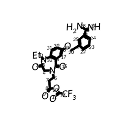 CCN1C(=O)CN(CCC(=O)OC(=O)C(F)(F)F)C(=O)c2cc(OCc3cccc(C(=N)N)c3)ccc21